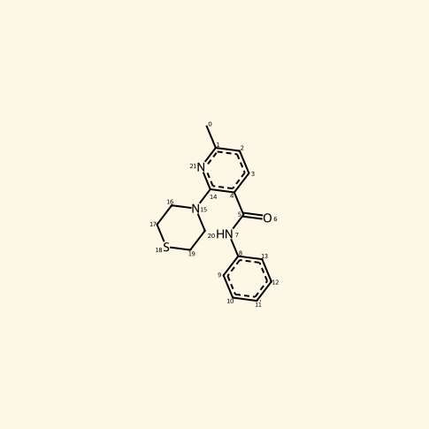 Cc1ccc(C(=O)Nc2cc[c]cc2)c(N2CCSCC2)n1